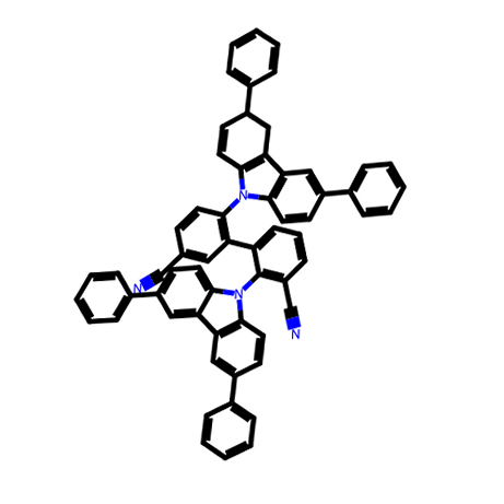 N#Cc1ccc(-n2c3c(c4cc(-c5ccccc5)ccc42)CC(c2ccccc2)C=C3)c(-c2cccc(C#N)c2-n2c3ccc(-c4ccccc4)cc3c3cc(-c4ccccc4)ccc32)c1